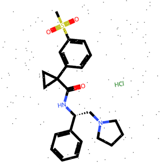 CS(=O)(=O)c1cccc(C2(C(=O)N[C@H](CN3CCCC3)c3ccccc3)CC2)c1.Cl